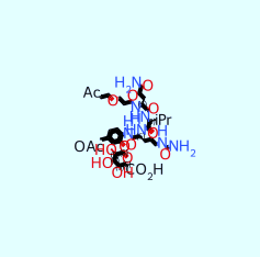 CC(=O)CCOCCC(=O)N[C@@H](CCC(N)=O)C(=O)N[C@H](C(=O)N[C@@H](CCCNC(N)=O)C(=O)Nc1ccc(COC(C)=O)cc1O[C@@H]1O[C@H](C(=O)O)[C@@H](O)[C@H](O)[C@H]1O)C(C)C